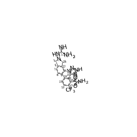 N=C(N)NN1Cc2ccc(-c3ccc(C(F)(F)F)c(S(N)(=O)=O)c3-c3nn[nH]n3)cc2C1